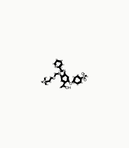 CC(O)c1cc2c(cc1Oc1ccc(S(C)(=O)=O)cc1)nc(-c1ccccn1)n2COCC[Si](C)(C)C